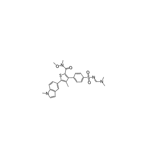 CON(C)C(=O)c1sc(-c2ccc3c(ccn3C)c2)c(C)c1-c1ccc(S(=O)(=O)N=CN(C)C)cc1